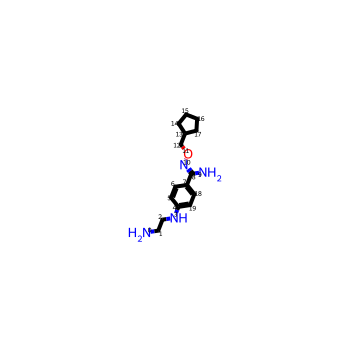 NCCNc1ccc(C(N)=NOCC2CCCC2)cc1